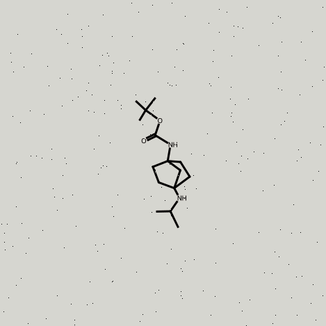 CC(C)NC12CCC(NC(=O)OC(C)(C)C)(CC1)C2